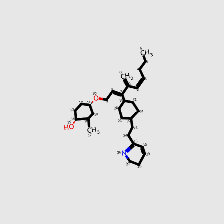 C=C(/C=C\CCC)/C(=C/CO[C@H]1CC[C@@H](O)C(C)C1)C1CCC(CCC2=NCCC=C2)CC1